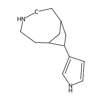 c1cc(C2CC3CCNCCC2C3)c[nH]1